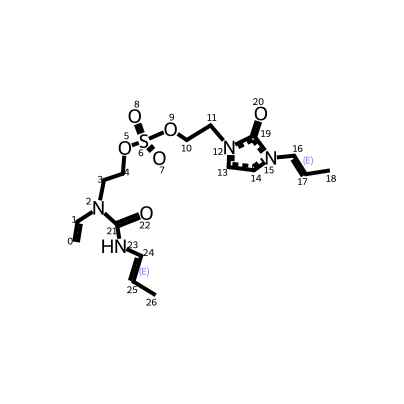 C=CN(CCOS(=O)(=O)OCCn1ccn(/C=C/C)c1=O)C(=O)N/C=C/C